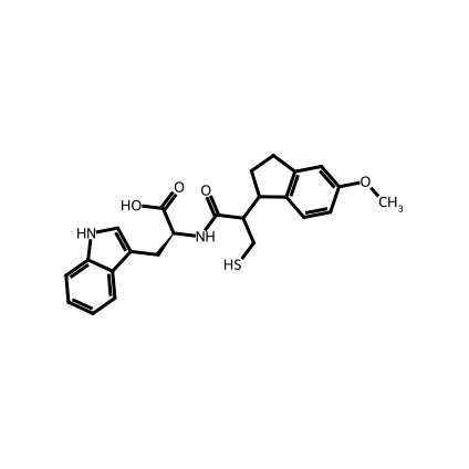 COc1ccc2c(c1)CCC2C(CS)C(=O)N[C@@H](Cc1c[nH]c2ccccc12)C(=O)O